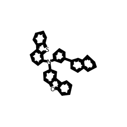 c1cc(-c2ccc3ccccc3c2)cc(N(c2ccc3oc4ccccc4c3c2)c2cccc3c2sc2ccccc23)c1